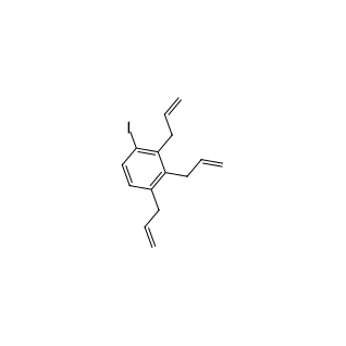 C=CCc1ccc(I)c(CC=C)c1CC=C